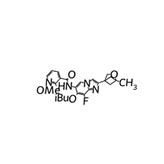 CCC(C)Oc1c(NC(=O)c2cccnc2OC)cn2cc(C34COC(C)(C3)C4)nc2c1F